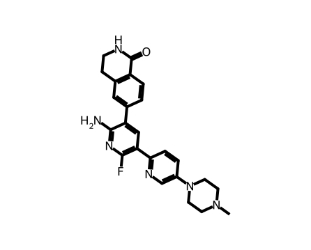 CN1CCN(c2ccc(-c3cc(-c4ccc5c(c4)CCNC5=O)c(N)nc3F)nc2)CC1